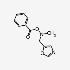 CN(Cc1cnco1)OC(=O)c1ccccc1